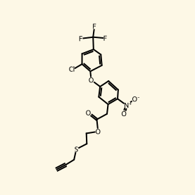 C#CCSCCOC(=O)Cc1cc(Oc2ccc(C(F)(F)F)cc2Cl)ccc1[N+](=O)[O-]